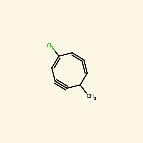 CC1C#C/C=C(/Cl)C=C=C1